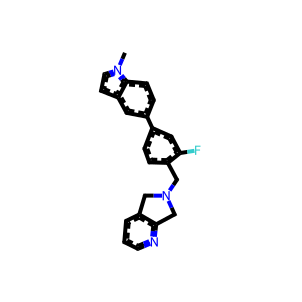 Cn1ccc2cc(-c3ccc(CN4Cc5cccnc5C4)c(F)c3)ccc21